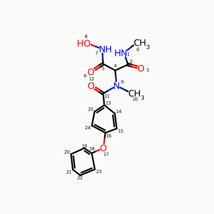 CNC(=O)C(C(=O)NO)N(C)C(=O)c1ccc(Oc2ccccc2)cc1